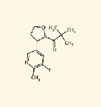 Cc1ncc([C@@H]2CCON2C(=O)C(C)(C)C)cc1F